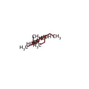 CCCCCCCC/C=C\CCCCCCC(O)CN(CCCCSSCCCCCN1CCN(CCOC(=O)CCCN(CC(O)CCCCCCCCCC)CC(O)CCCCCCCCCC)CC1)CC(O)CCCCCC/C=C\CCCCCCCC